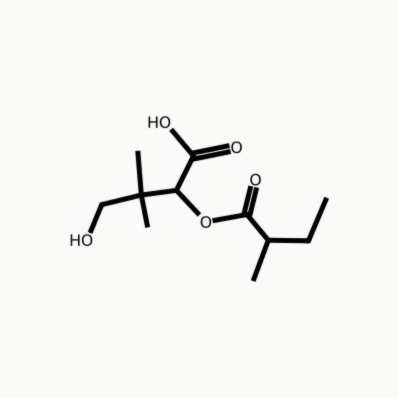 CCC(C)C(=O)OC(C(=O)O)C(C)(C)CO